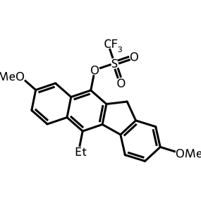 CCc1c2c(c(OS(=O)(=O)C(F)(F)F)c3cc(OC)ccc13)Cc1cc(OC)ccc1-2